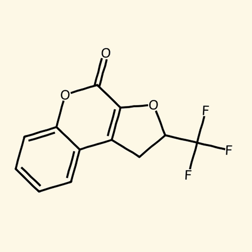 O=c1oc2ccccc2c2c1OC(C(F)(F)F)C2